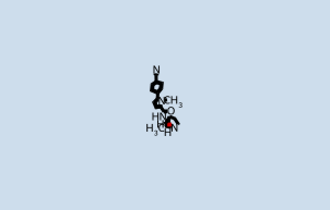 C[C@H]1[C@H](NC(=O)c2ccc(-c3ccc(C#N)cc3)n2C)C2CCN1CC2